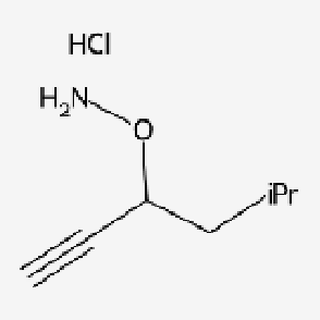 C#CC(CC(C)C)ON.Cl